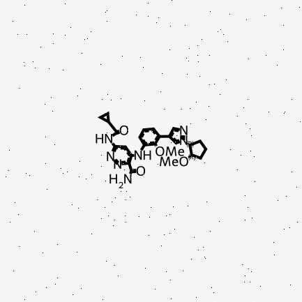 COc1c(Nc2cc(NC(=O)C3CC3)nnc2C(N)=O)cccc1-c1cnn([C@@H]2CCC[C@H]2OC)c1